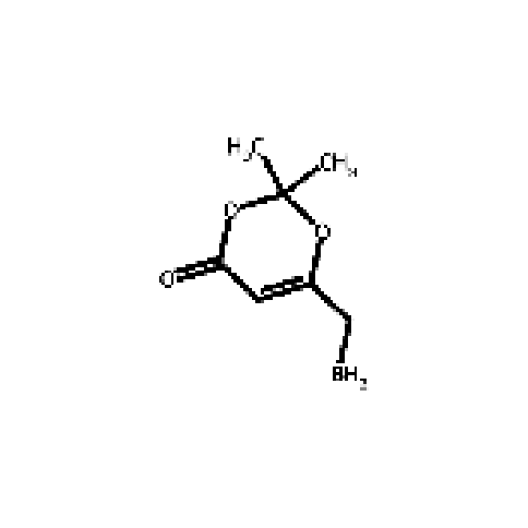 BCC1=CC(=O)OC(C)(C)O1